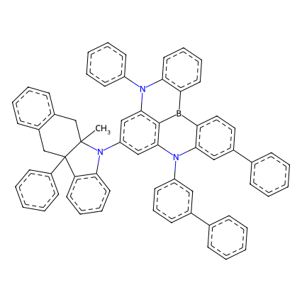 CC12Cc3ccccc3CC1(c1ccccc1)c1ccccc1N2c1cc2c3c(c1)N(c1cccc(-c4ccccc4)c1)c1cc(-c4ccccc4)ccc1B3c1ccccc1N2c1ccccc1